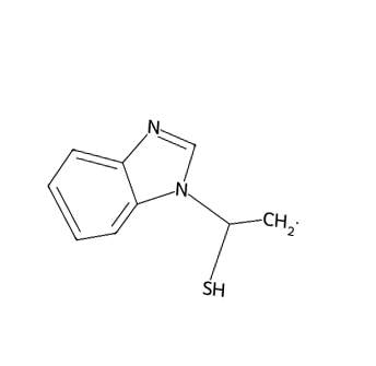 [CH2]C(S)n1cnc2ccccc21